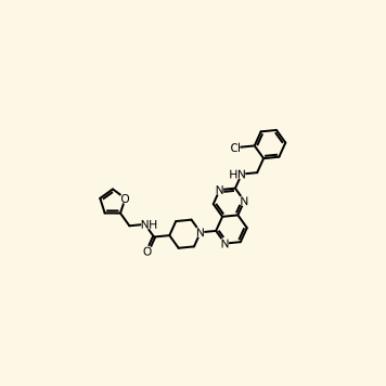 O=C(NCc1ccco1)C1CCN(c2nccc3nc(NCc4ccccc4Cl)ncc23)CC1